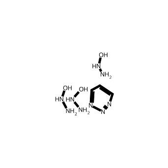 NNO.NNO.NNO.c1cnnnc1